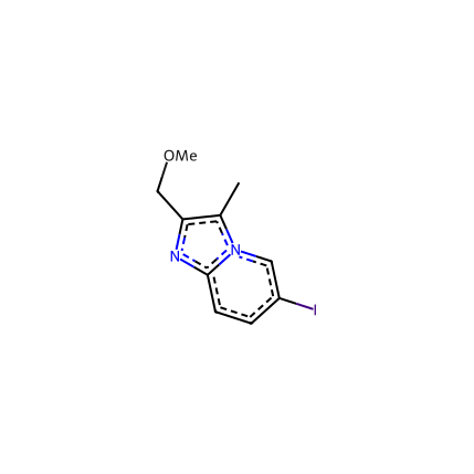 COCc1nc2ccc(I)cn2c1C